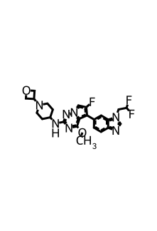 COc1nc(NC2CCN(C3COC3)CC2)nn2cc(F)c(-c3ccc4ncn(CC(F)F)c4c3)c12